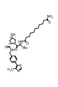 Cc1ncsc1-c1ccc(CNC(=O)[C@@H]2C[C@@H](O)CN2C(=O)[C@@H](NC(=O)CCCCCCCCCC(N)=O)C(C)(C)C)cc1